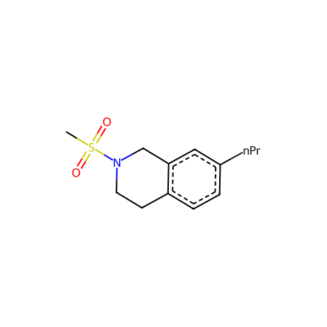 CCCc1ccc2c(c1)CN(S(C)(=O)=O)CC2